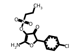 CCCS(=O)(=O)OC1=C(N)OC(c2ccc(Cl)cc2)C1=O